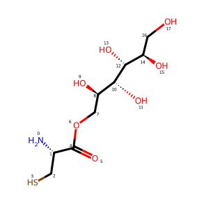 N[C@@H](CS)C(=O)OC[C@@H](O)[C@@H](O)[C@H](O)[C@H](O)CO